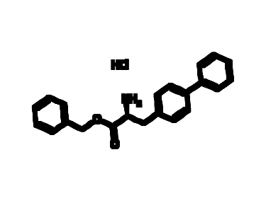 Cl.N[C@@H](Cc1ccc(-c2ccccc2)cc1)C(=O)OCc1ccccc1